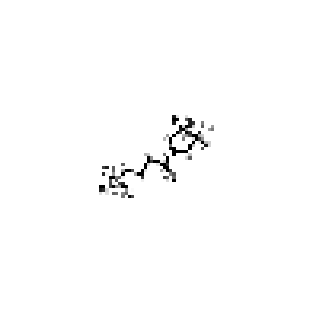 CCS(=O)(=O)CCCC(=O)N1CC(F)(F)C(F)(F)C1